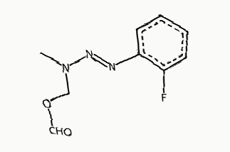 CN(COC=O)/N=N/c1ccccc1F